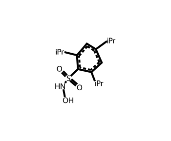 CC(C)c1cc(C(C)C)c(S(=O)(=O)NO)c(C(C)C)c1